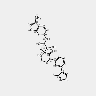 Cc1nocc1-c1cccc(N2CCO[C@](C)([C@@H](O)C(=O)Nc3ccc4c(N)noc4c3)C2=O)n1